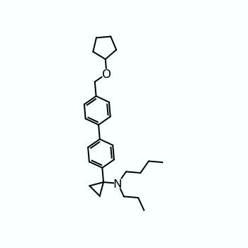 CCCCN(CCC)C1(c2ccc(-c3ccc(COC4CCCC4)cc3)cc2)CC1